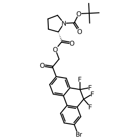 CC(C)(C)OC(=O)N1CCC[C@H]1C(=O)OCC(=O)c1ccc2c(c1)C(F)(F)C(F)(F)c1cc(Br)ccc1-2